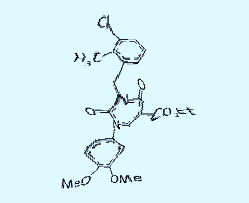 CCOC(=O)c1cn(-c2ccc(OC)c(OC)c2)c(=O)n(Cc2cccc(Cl)c2C)c1=O